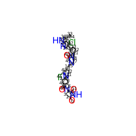 O=C1CCC(N2Cc3cc(N4CCC(CCN5CCN(c6cccc(-c7cnc8[nH]cc(C9CC9)c8c7Cl)c6)C(=O)C5)CC4)c(F)cc3C2=O)C(=O)N1